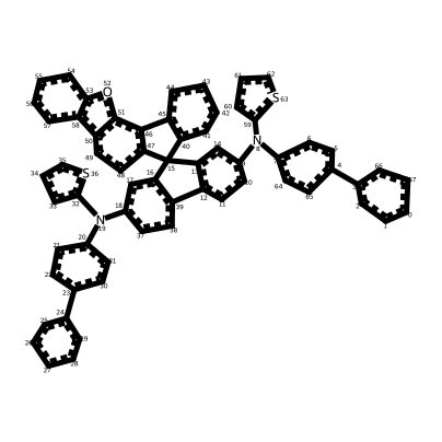 c1ccc(-c2ccc(N(c3ccc4c(c3)C3(c5cc(N(c6ccc(-c7ccccc7)cc6)c6cccs6)ccc5-4)c4ccccc4-c4c3ccc3c4oc4ccccc43)c3cccs3)cc2)cc1